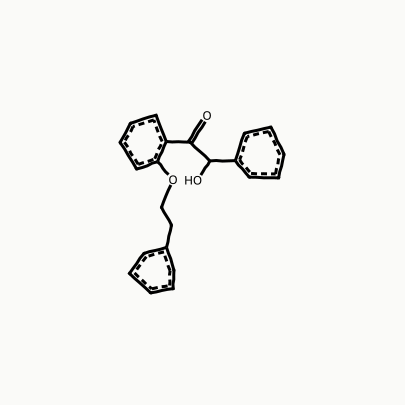 O=C(c1ccccc1OCCc1ccccc1)C(O)c1ccccc1